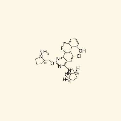 CN1CCC[C@H]1COc1nc(N2C[C@H]3CC[C@@H](C2)N3)c2cc(Cl)c(-c3c(O)cccc3F)c(F)c2n1